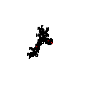 N#CC(C#N)=C1/C(=N\c2cc3sc4c5sc6c(c5sc4c3s2)C(C(=O)OCc2ccccc2)(C(=O)OCc2ccccc2)C(/N=C2/C(=C(C#N)C#N)c3cc(F)c(F)cc3C2O)=C6)C(=O)c2cc(F)c(F)cc21